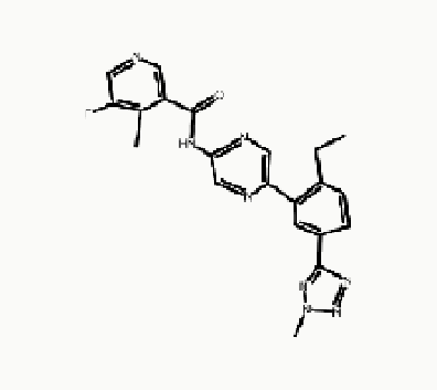 CCc1ccc(-c2nnn(C)n2)cc1-c1cnc(NC(=O)c2cncc(F)c2C)cn1